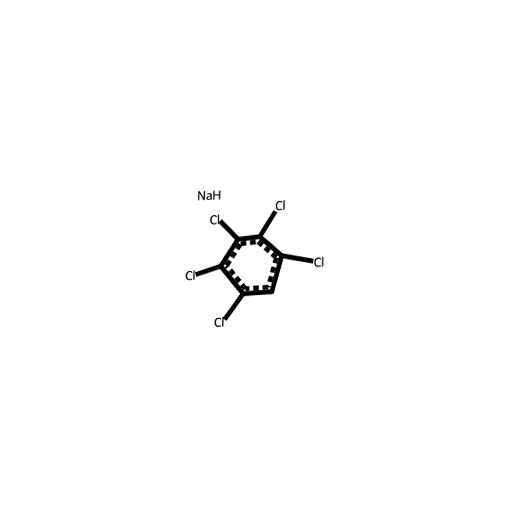 Clc1cc(Cl)c(Cl)c(Cl)c1Cl.[NaH]